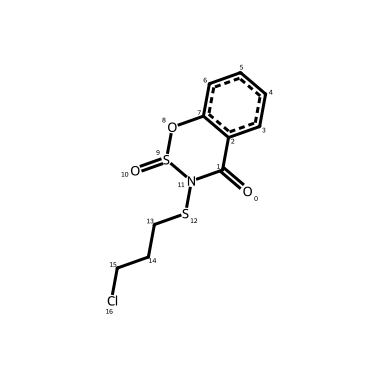 O=C1c2ccccc2OS(=O)N1SCCCCl